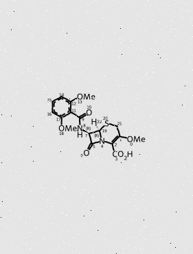 COC1=C(C(=O)O)N2C(=O)[C@@H](NC(=O)c3c(OC)cccc3OC)[C@H]2SC1